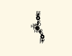 O=C(COc1ccc(OC(F)(F)F)cc1)NC12CCC(NC(=O)COc3ccc(OC(F)(F)F)cc3)(CC1)[C@@H](O)C2